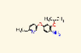 CCc1ccc(Oc2ccc(N)c(OC(C)C)c2)cn1